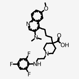 COc1ccc2ncc(N(C)C)c(CCCC3(C(=O)O)CCN(CCNc4c(F)cc(F)cc4F)CC3)c2c1